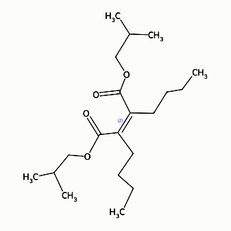 CCCC/C(C(=O)OCC(C)C)=C(\CCCC)C(=O)OCC(C)C